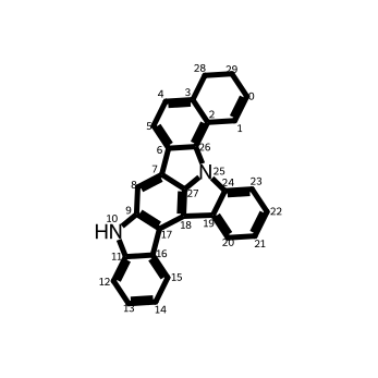 C1=Cc2c(ccc3c4cc5[nH]c6ccccc6c5c5c6ccccc6n(c23)c45)CC1